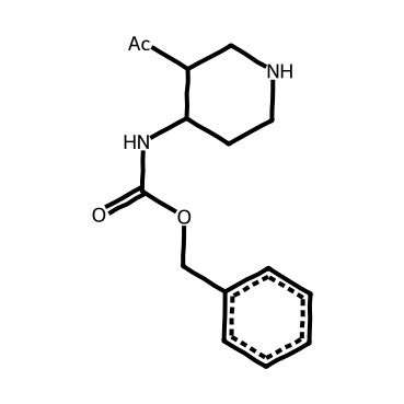 CC(=O)C1CNCCC1NC(=O)OCc1ccccc1